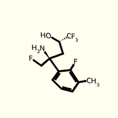 Cc1cccc([C@](N)(CF)C[C@H](O)C(F)(F)F)c1F